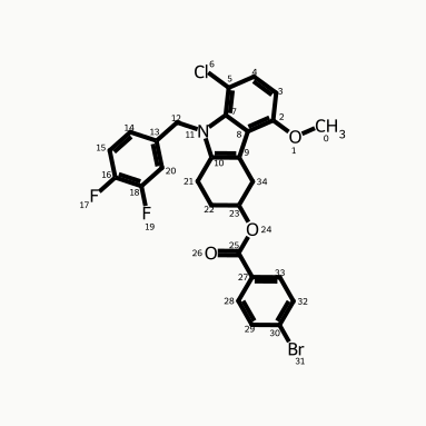 COc1ccc(Cl)c2c1c1c(n2Cc2ccc(F)c(F)c2)CCC(OC(=O)c2ccc(Br)cc2)C1